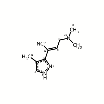 Cc1c[nH]nc1/C(C#N)=C/CN(C)C